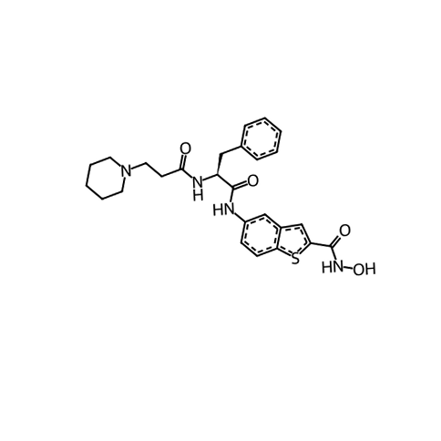 O=C(CCN1CCCCC1)N[C@@H](Cc1ccccc1)C(=O)Nc1ccc2sc(C(=O)NO)cc2c1